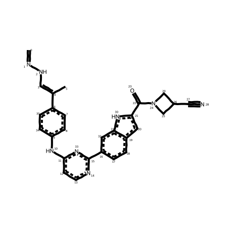 C=NN/C=C(\C)c1ccc(Nc2ccnc(-c3ccc4cc(C(=O)N5CC(C#N)C5)[nH]c4c3)n2)cc1